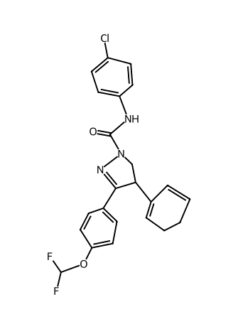 O=C(Nc1ccc(Cl)cc1)N1CC(C2=CCCC=C2)C(c2ccc(OC(F)F)cc2)=N1